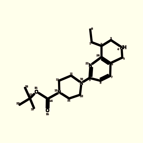 CCC1CNCc2ccc(N3CCN(C(=O)OC(C)(C)C)CC3)nc21